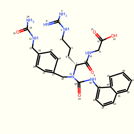 N=C(N)NCCC[C@H](C(=O)NCC(=O)O)N(Cc1ccc(CNC(N)=O)cc1)C(=O)Nc1cccc2ccccc12